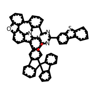 c1ccc2c(c1)-c1ccccc1C21c2ccccc2-c2ccc(-c3nc(-c4ccc5c(c4)sc4ccccc45)nc(-c4cccc5c6cccc7oc8ccc9c%10ccccc%10n(c45)c9c8c76)n3)cc21